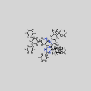 CC(C)(C)c1ccc2c(c1)c1cc(C(C)(C)C)ccc1n2-c1ncc(-c2cc(-c3ccccc3)cc(-c3ccccc3)c2)cc1-c1nc(-c2ccccc2)nc(-c2ccccc2)n1